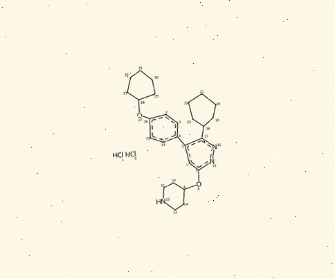 Cl.Cl.c1cc(-c2cc(OC3CCNCC3)nnc2C2CCCCC2)ccc1OC1CCCCC1